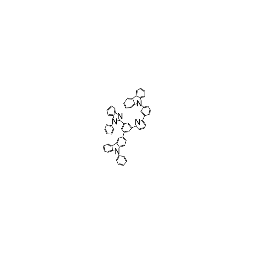 c1ccc(-n2c(-c3cc(-c4ccc5c(c4)c4ccccc4n5-c4ccccc4)cc(-c4cccc(-c5cccc(-n6c7ccccc7c7ccccc76)c5)n4)c3)nc3ccccc32)cc1